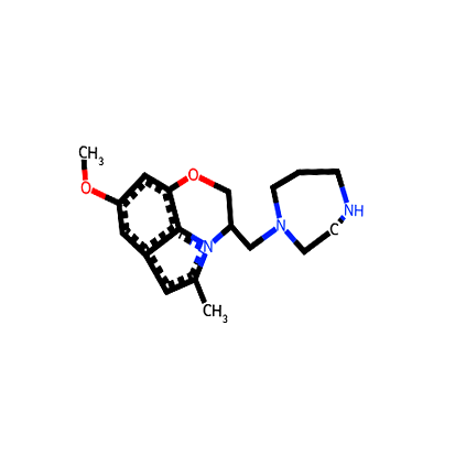 COc1cc2c3c(c1)cc(C)n3C(CN1CCCNCC1)CO2